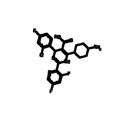 NC1CCC(C2=C(C(=O)O)C(c3ccc(F)cc3Cl)N=C(c3ncc(F)cc3F)N2)CC1